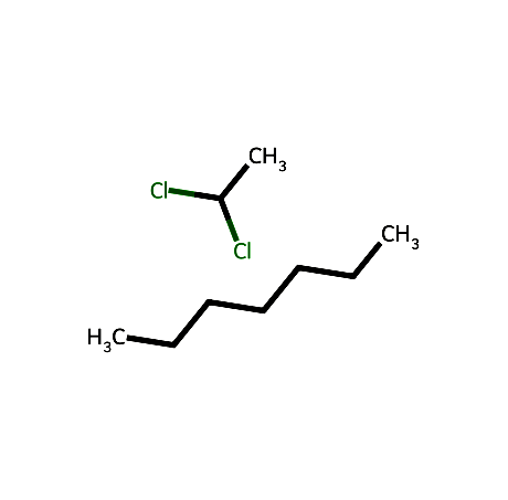 CC(Cl)Cl.CCCCCCC